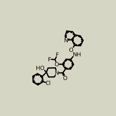 O=C(c1ccc(NOc2cccc3cccnc23)cc1OC(F)F)N1CCC(O)(c2ccccc2Cl)CC1